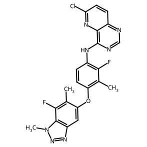 Cc1c(Oc2cc3nnn(C)c3c(F)c2C)ccc(Nc2ncnc3ccc(Cl)nc23)c1F